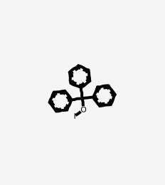 IOC(c1ccccc1)(c1ccccc1)c1ccccc1